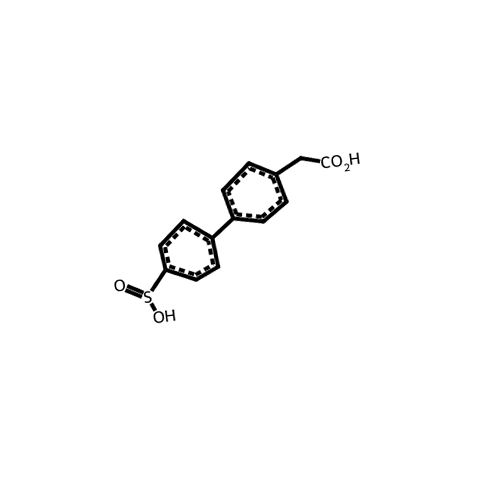 O=C(O)Cc1ccc(-c2ccc(S(=O)O)cc2)cc1